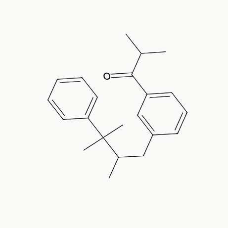 CC(C)C(=O)c1cccc(CC(C)C(C)(C)c2ccccc2)c1